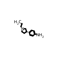 C=CCN1CC[C@@H](c2ccc(N)cc2)C1